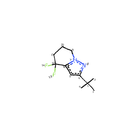 CC(C)(C)c1cc2n(n1)CCCC2(F)F